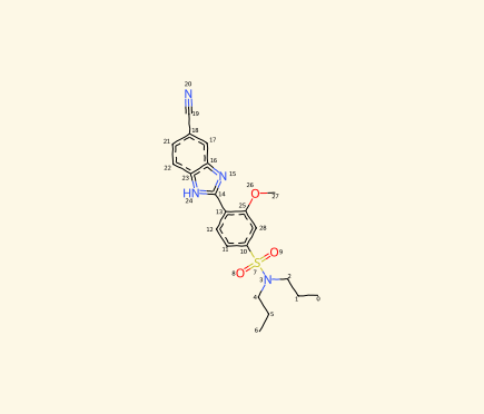 CCCN(CCC)S(=O)(=O)c1ccc(-c2nc3cc(C#N)ccc3[nH]2)c(OC)c1